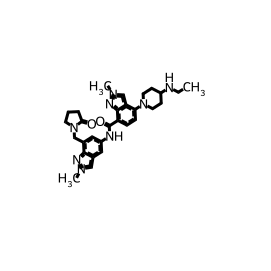 CCNC1CCN(c2ccc(C(=O)Nc3cc(CN4CCCC4=O)c4nn(C)cc4c3)c3nn(C)cc23)CC1